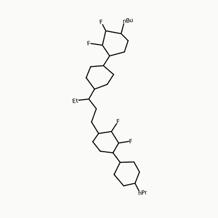 CCCCC1CCC(C2CCC(C(CC)CCC3CCC(C4CCC(CCC)CC4)C(F)C3F)CC2)C(F)C1F